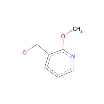 COc1ncccc1C[O]